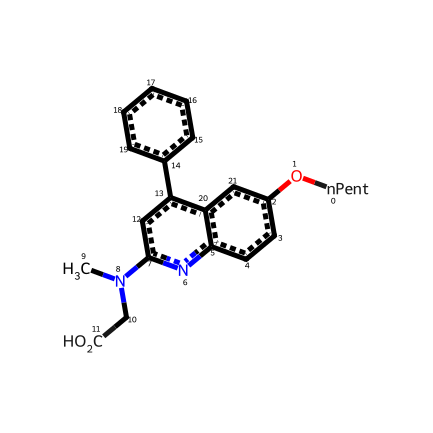 CCCCCOc1ccc2nc(N(C)CC(=O)O)cc(-c3ccccc3)c2c1